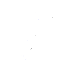 CC(C)N(C)CCNc1ccccn1